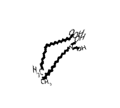 CCCCCCCC/C=C\CCCCCCCCCCCC(=O)O.CCCCCCCCCCCCCCCCCCN(CCO)CCO